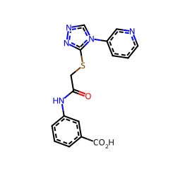 O=C(CSc1nncn1-c1cccnc1)Nc1cccc(C(=O)O)c1